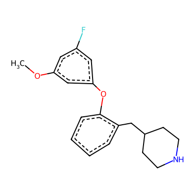 COc1cc(F)cc(Oc2ccccc2CC2CCNCC2)c1